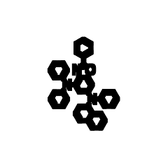 c1ccc(-c2nc3c(N(c4ccccc4)c4ccccc4)cc(N(c4ccccc4)c4cccc5ccccc45)cc3o2)cc1